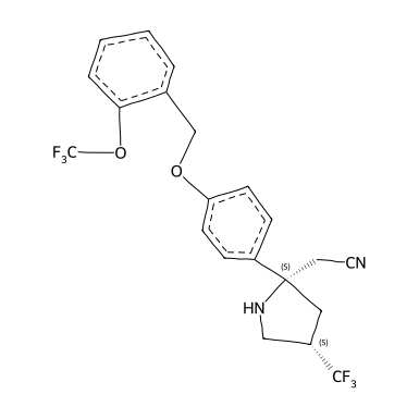 N#CC[C@]1(c2ccc(OCc3ccccc3OC(F)(F)F)cc2)C[C@H](C(F)(F)F)CN1